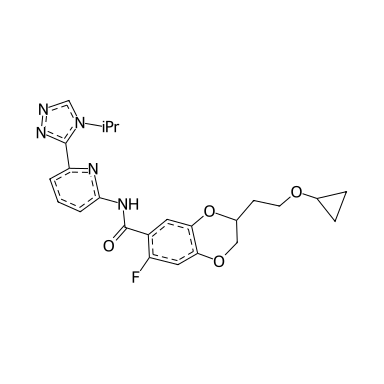 CC(C)n1cnnc1-c1cccc(NC(=O)c2cc3c(cc2F)OCC(CCOC2CC2)O3)n1